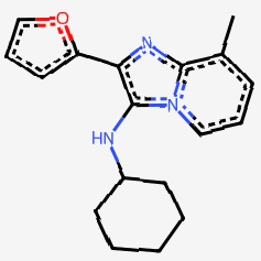 Cc1cccn2c(NC3CCCCC3)c(-c3ccco3)nc12